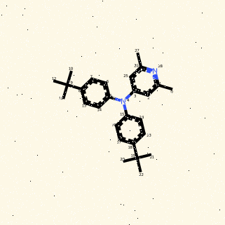 Cc1cc(N(c2ccc(C(C)(C)C)cc2)c2ccc(C(C)(C)C)cc2)cc(C)n1